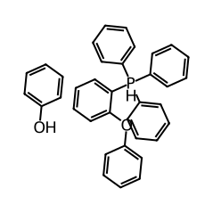 Oc1ccccc1.c1ccc(Oc2ccccc2[PH](c2ccccc2)(c2ccccc2)c2ccccc2)cc1